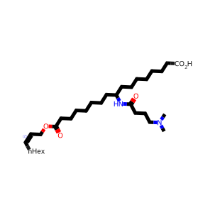 CCCCCC/C=C\COC(=O)CCCCCCCC(CCCCCCCC(=O)O)NC(=O)CCCN(C)C